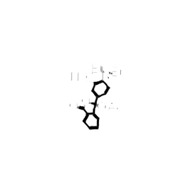 CCN(CC)c1ccc(C2(OC(C)=O)OC(=O)c3ccccc32)cc1C